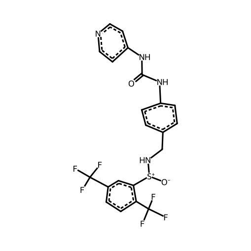 O=C(Nc1ccncc1)Nc1ccc(CN[S+]([O-])c2cc(C(F)(F)F)ccc2C(F)(F)F)cc1